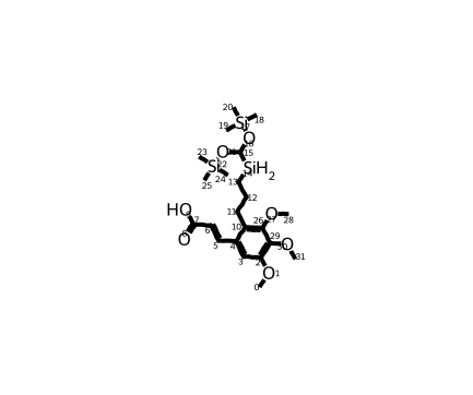 COc1cc(C=CC(=O)O)c(CCC[SiH2]C(O[Si](C)(C)C)O[Si](C)(C)C)c(OC)c1OC